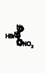 Br.O=[N+]([O-])c1cccc(-c2cnn(-c3cccnc3)c2)c1